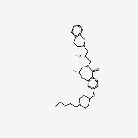 CCOCCN1CCC(Oc2ccc3c(c2)O[C@H](C)CN(CC(O)CN2CCc4ccccc4C2)C3=O)CC1